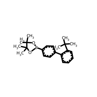 CC(C)(C)c1ccccc1-c1ccc(B2OC(C)(C)C(C)(C)O2)cc1